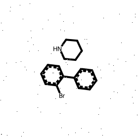 Brc1ccccc1-c1ccccc1.C1CCNCC1